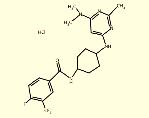 Cc1nc(NC2CCC(NC(=O)c3ccc(F)c(C(F)(F)F)c3)CC2)cc(N(C)C)n1.Cl